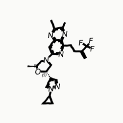 C=C(CCc1nc(N2C[C@H](C)O[C@@H](c3cnn(C4CC4)c3)C2)cc2nc(C)c(C)nc12)C(F)(F)F